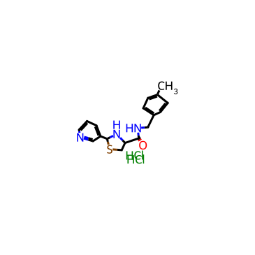 Cc1ccc(CNC(=O)C2CSC(c3cccnc3)N2)cc1.Cl.Cl